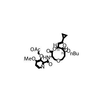 CCCCO[C@H]1CCOC[C@H](NC(=O)c2nccc(OC)c2OCOC(C)=O)C(=O)O[C@H]2C=C(C3CC3)O[C@@H]21